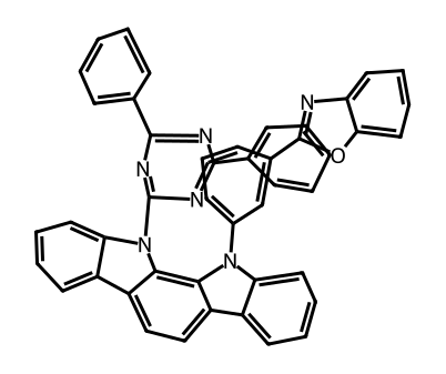 c1ccc(-c2nc(-c3ccccc3)nc(-n3c4ccccc4c4ccc5c6ccccc6n(-c6cccc(-c7nc8ccccc8o7)c6)c5c43)n2)cc1